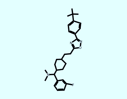 CN(C)C(c1cccc(F)c1)C1CCC(CCc2nc(-c3ccc(C(C)(C)C)cc3)no2)CC1